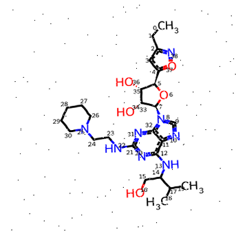 CCc1cc([C@H]2O[C@@H](n3cnc4c(NC(CO)C(C)C)nc(NCCN5CCCCC5)nc43)[C@H](O)[C@@H]2O)on1